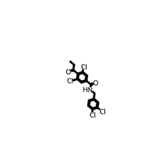 CCC(=O)c1c(Cl)cc(C(=O)NCc2ccc(Cl)c(Cl)c2)cc1Cl